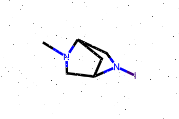 CN1CC2CC1CN2I